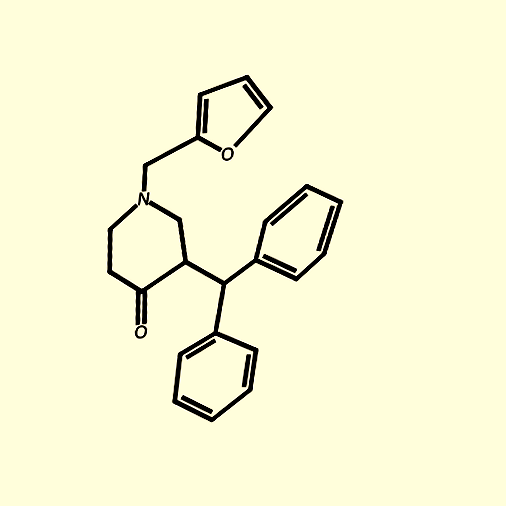 O=C1CCN(Cc2ccco2)CC1C(c1ccccc1)c1ccccc1